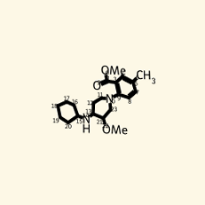 COC(=O)c1cc(C)ccc1N1CCC(NC2CCCCC2)C(OC)C1